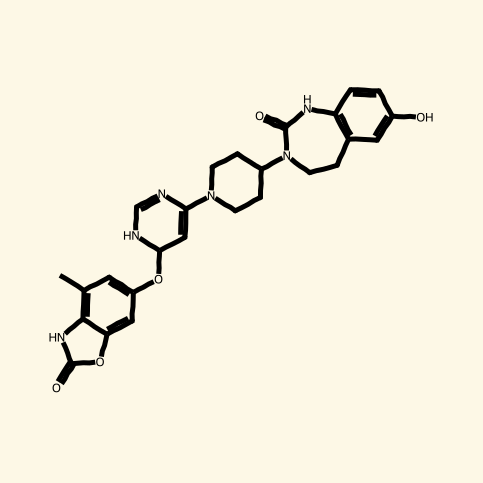 Cc1cc(OC2C=C(N3CCC(N4CCc5cc(O)ccc5NC4=O)CC3)N=CN2)cc2oc(=O)[nH]c12